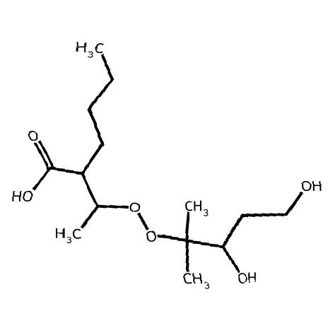 CCCCC(C(=O)O)C(C)OOC(C)(C)C(O)CCO